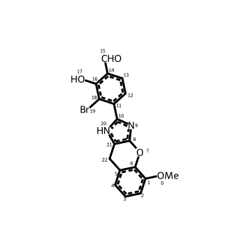 COc1cccc2c1Oc1nc(-c3ccc(C=O)c(O)c3Br)[nH]c1C2